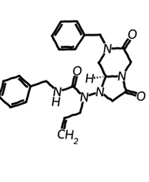 C=CCN(C(=O)NCc1ccccc1)N1CC(=O)N2CC(=O)N(Cc3ccccc3)C[C@@H]21